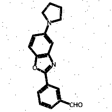 O=Cc1cccc(-c2nc3cc(N4CCCC4)ccc3o2)c1